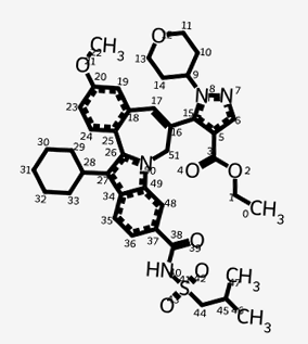 CCOC(=O)c1cnn(C2CCOCC2)c1C1=Cc2cc(OC)ccc2-c2c(C3CCCCC3)c3ccc(C(=O)NS(=O)(=O)CC(C)C)cc3n2C1